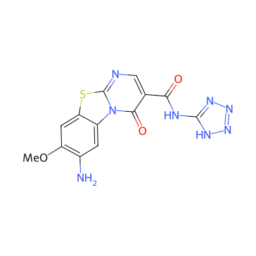 COc1cc2sc3ncc(C(=O)Nc4nnn[nH]4)c(=O)n3c2cc1N